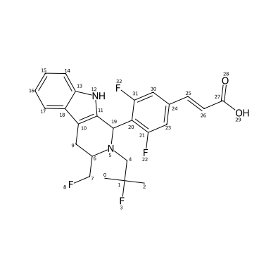 CC(C)(F)CN1C(CF)Cc2c([nH]c3ccccc23)C1c1c(F)cc(/C=C/C(=O)O)cc1F